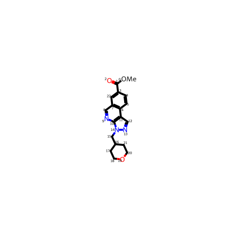 COC(=O)c1ccc2c(cnc3c2cnn3CC2CCOCC2)c1